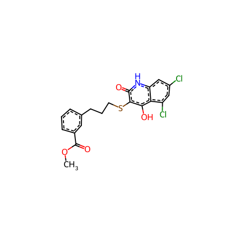 COC(=O)c1cccc(CCCSc2c(O)c3c(Cl)cc(Cl)cc3[nH]c2=O)c1